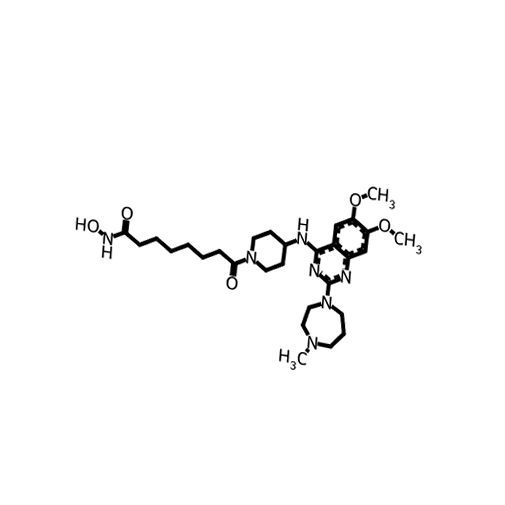 COc1cc2nc(N3CCCN(C)CC3)nc(NC3CCN(C(=O)CCCCCCC(=O)NO)CC3)c2cc1OC